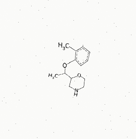 Cc1[c]cccc1OC(C)C1CNCCO1